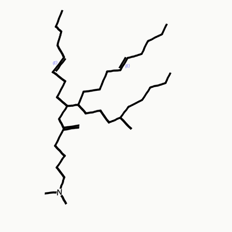 C=C(CCCCN(C)C)CC(CC/C=C/CCCC)C(CCC/C=C/CCCC)CCCC(C)CCCCC